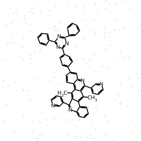 Cc1c2c(-c3cccnc3)nc3cc(-c4ccc(-c5nc(-c6ccccc6)nc(-c6ccccc6)n5)cc4)ccc3c2c(C)c2c(-c3cccnc3)nc3ccccc3c12